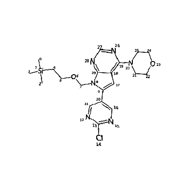 C[Si](C)(C)CCOCn1c(-c2cnc(Cl)nc2)cc2c(N3CCOCC3)ncnc21